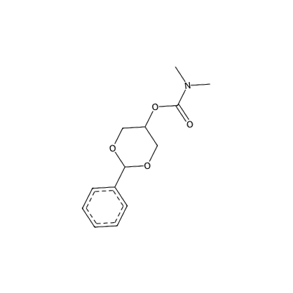 CN(C)C(=O)OC1COC(c2ccccc2)OC1